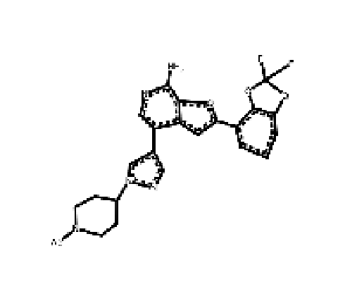 CC(=O)N1CCC(n2cc(-c3cnc(N)c4oc(-c5cccc6c5OC(F)(F)O6)cc34)cn2)CC1